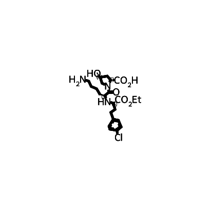 CCOC(=O)[C@H](CCc1ccc(Cl)cc1)N[C@@H](CCCCN)C(=O)N1C[C@H](O)C[C@H]1C(=O)O